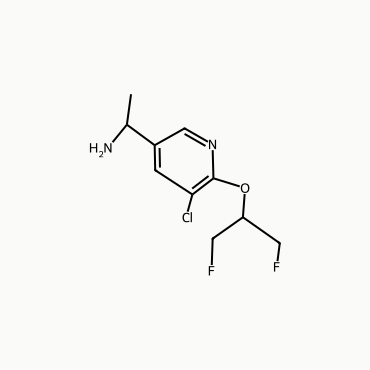 CC(N)c1cnc(OC(CF)CF)c(Cl)c1